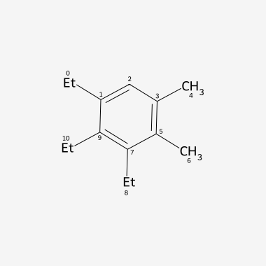 CCc1cc(C)c(C)c(CC)c1CC